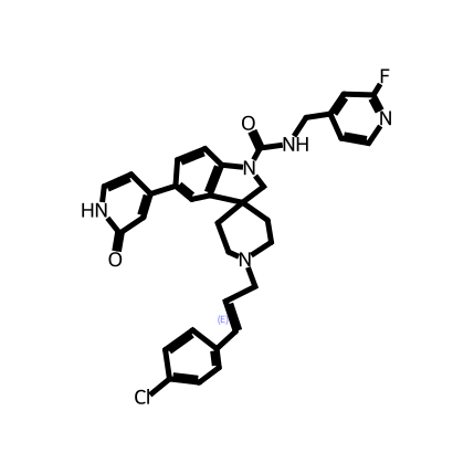 O=C(NCc1ccnc(F)c1)N1CC2(CCN(C/C=C/c3ccc(Cl)cc3)CC2)c2cc(-c3cc[nH]c(=O)c3)ccc21